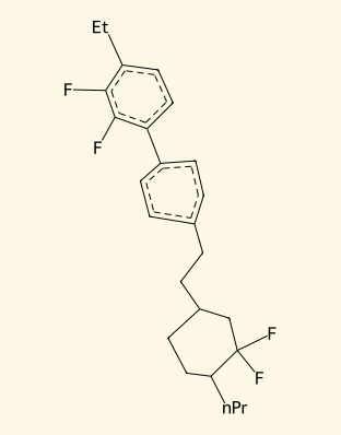 CCCC1CCC(CCc2ccc(-c3ccc(CC)c(F)c3F)cc2)CC1(F)F